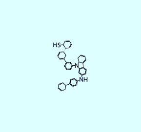 SC1C=CC=CC1[C@H]1C=CC=C(c2cccc(N3c4cc(Nc5ccc(C6C=CC=CC6)cc5)ccc4C4=CC=CCC43)c2)C1